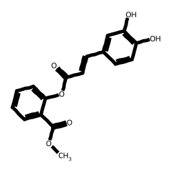 COC(=O)c1ccccc1OC(=O)C=Cc1ccc(O)c(O)c1